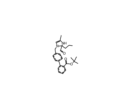 CCCC1(C=O)NC(C)=CN1Cc1ccc(-c2ccccc2C(=O)OC(C)(C)C)cc1